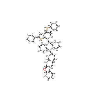 c1ccc(-c2cc3c(s2)c(-c2c4ccccc4c(-c4ccc5cc6c(cc5c4)oc4ccccc46)c4ccccc24)cc2c4ccccc4sc32)cc1